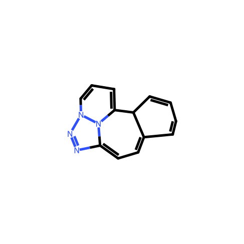 C1=CC2=CC=C3N=NN4C=CC=C(C2C=C1)N34